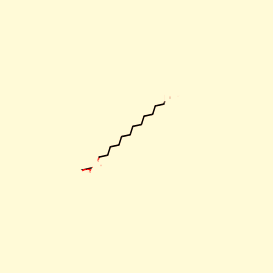 C1CO1.CCCCCCCCCCCCCCCCCCCCCCO